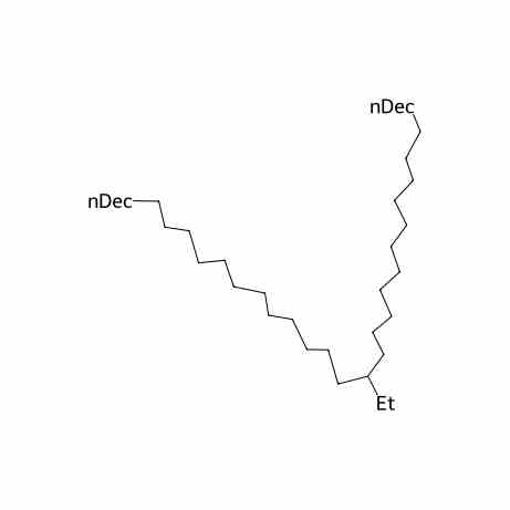 [CH2]CC(CCCCCCCCCCCCCCCCCCCCC)CCCCCCCCCCCCCCCCCCCCCC